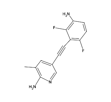 Cc1cc(C#Cc2c(F)ccc(N)c2F)cnc1N